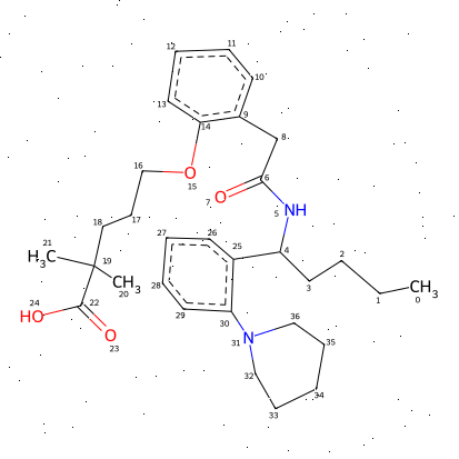 CCCCC(NC(=O)Cc1ccccc1OCCCC(C)(C)C(=O)O)c1ccccc1N1CCCCC1